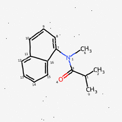 CC(C)C(=O)N(C)c1cccc2ccccc12